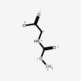 COC(=O)NCC(=O)Cl